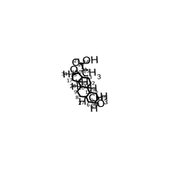 C[C@]12C[C@H]3O[C@H]3C[C@@H]1CC[C@@H]1[C@@H]2CC[C@@]2(C)[C@H]1C[C@H]1O[C@]12CC(=O)O